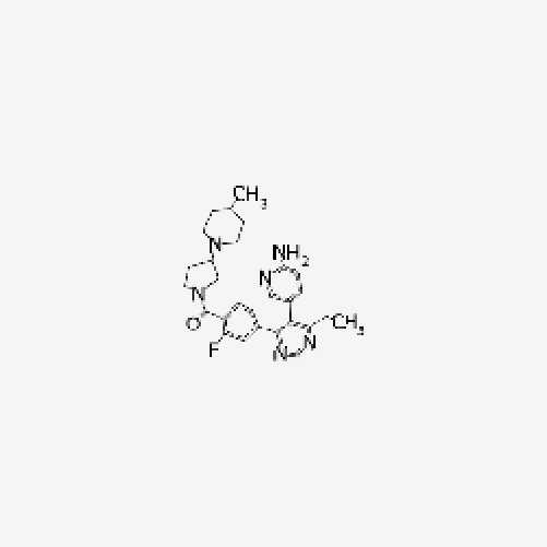 CCc1ncnc(-c2ccc(C(=O)N3CCC(N4CCC(C)CC4)C3)c(F)c2)c1-c1ccc(N)nc1